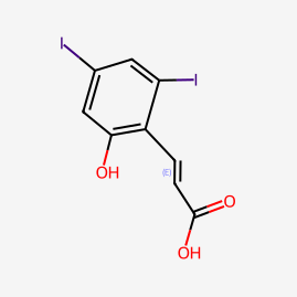 O=C(O)/C=C/c1c(O)cc(I)cc1I